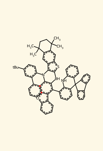 CC(C)(C)c1ccc(N2c3cc4oc5ccccc5c4c(-c4cccc5c4Nc4ccccc4C54c5ccccc5-c5ccccc54)c3Bc3sc4cc5c(cc4c32)C(C)(C)CCC5(C)C)c(-c2ccccc2)c1